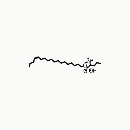 CCC/C=C\CCCCCCCCCCCCCOP(=O)(O)C(CCC)[N+](C)(C)C